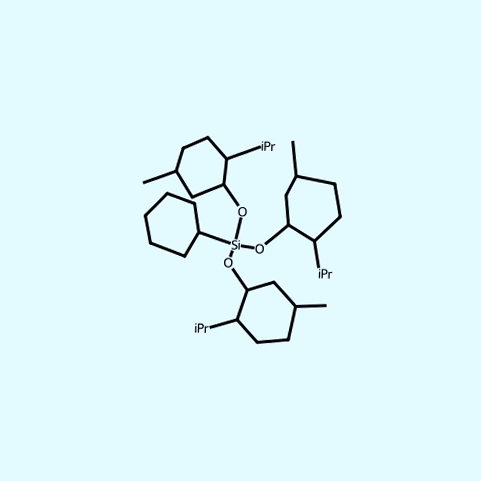 CC1CCC(C(C)C)C(O[Si](OC2CC(C)CCC2C(C)C)(OC2CC(C)CCC2C(C)C)C2CCCCC2)C1